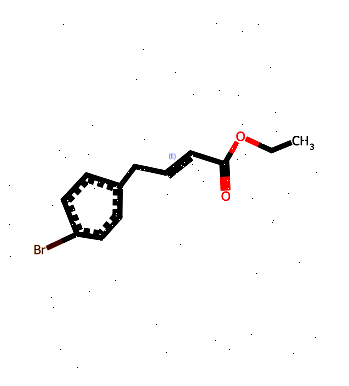 CCOC(=O)/C=C/Cc1ccc(Br)cc1